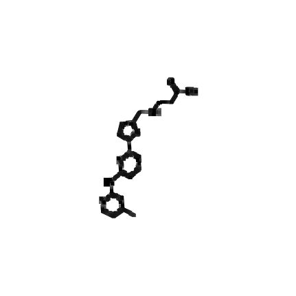 Cc1ccnc(Nc2cccc(-c3ccc(CNCCC(=O)O)s3)n2)c1